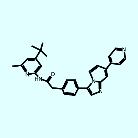 Cc1cc(C(C)(C)C)cc(NC(=O)Cc2ccc(-c3cnc4cc(-c5ccncc5)ccn34)cc2)n1